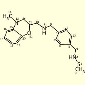 CSNCc1ccc(CNCC2CN(C)c3ccccc3O2)cc1